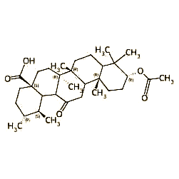 CC(=O)O[C@@H]1CC[C@@]2(C)C(CC[C@]3(C)C2CC(=O)C2C4[C@@H](C)[C@H](C)CC[C@]4(C(=O)O)CC[C@]23C)C1(C)C